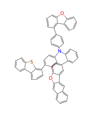 c1ccc(N(c2ccc(-c3cccc4c3sc3ccccc34)cc2)c2ccc(-c3cccc4oc5ccccc5c34)cc2)c(-c2ccc3oc4cc5ccccc5cc4c3c2)c1